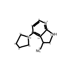 N#CC1CNc2nccc(N3CCCC3)c21